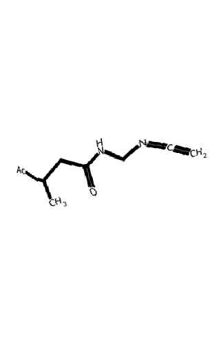 C=C=NCNC(=O)CC(C)C(C)=O